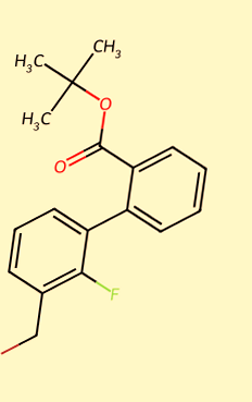 CC(C)(C)OC(=O)c1ccccc1-c1cccc(CBr)c1F